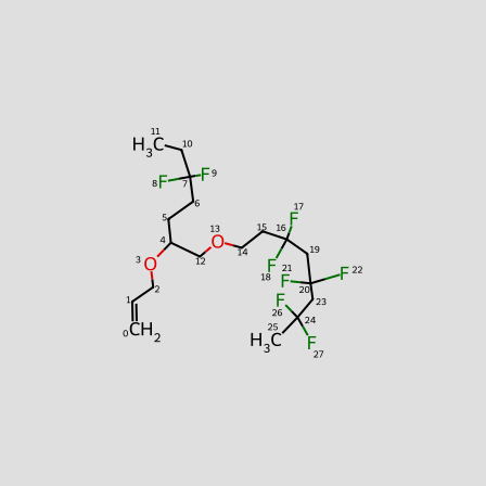 C=CCOC(CCC(F)(F)CC)COCCC(F)(F)CC(F)(F)CC(C)(F)F